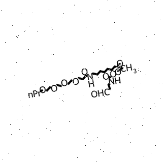 CCCOCCOCCOCCOCCC(=O)NCCCCCC(CS(C)(=O)=O)OC(=O)NCCC=O